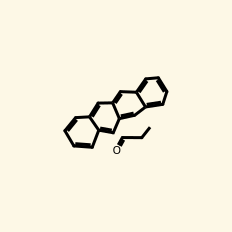 CCC=O.c1ccc2cc3cc4ccccc4cc3cc2c1